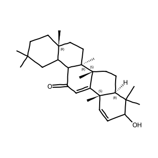 CC1(C)CC[C@]2(C)CC[C@]3(C)C(C(=O)C=C4[C@@]5(C)C=CC(O)C(C)(C)[C@@H]5CC[C@]43C)C2C1